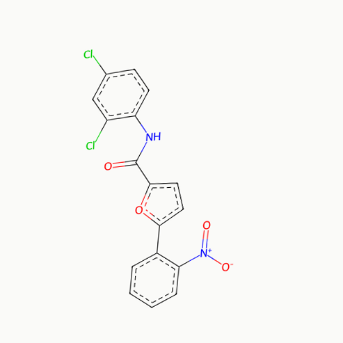 O=C(Nc1ccc(Cl)cc1Cl)c1ccc(-c2ccccc2[N+](=O)[O-])o1